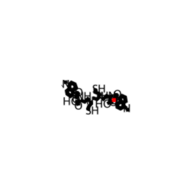 CN(C)c1cccc2c(S(=O)(=O)NC(CCN(CCS)CCN(CCS)CCC(NS(=O)(=O)c3cccc4c(N(C)C)cccc34)C(=O)O)C(=O)O)cccc12